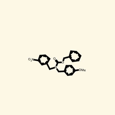 COc1ccc(CN(Cc2cccc([N+](=O)[O-])c2)C(=O)OCc2ccccc2)cc1